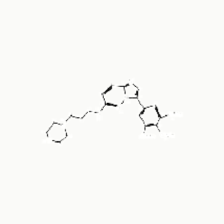 COc1cc(-c2cnc3ccc(NCCCN4CCOCC4)nn23)cc(OC)c1OC